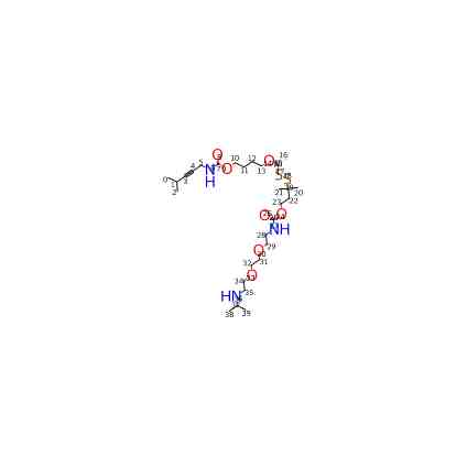 CC(C)C#CCNC(=O)OCCCCO[C@H](C)SSC(C)(C)CCOC(=O)NCCOCCOCCNC(C)C